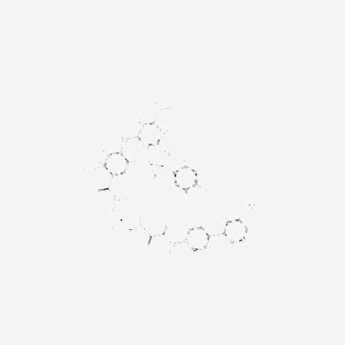 COc1cccc(-c2ccc(NC(=O)C(=O)NCC(C)(C)CNC(=O)c3ccc(Nc4nc(NC5(c6ccc(Cl)cc6)CC5)nc(OCC(F)(F)F)n4)cc3F)cc2)c1